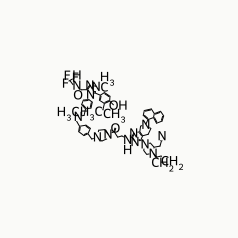 C=CC(=C)N1CCN(c2nc(NCCC(=O)N3CCN(Cc4ccc(CN(C)Cc5ccc(-n6c(C(=O)NCC(F)(F)F)nnc6-c6cc(C(C)C)c(O)cc6C)cc5)cc4)CC3)nc3c2CCN(c2cccc4ccccc24)C3)CC1CC#N